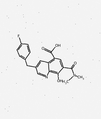 CN(C)C(=O)c1cc(C(=O)O)c2cc(Cc3ccc(F)cc3)cnc2c1O